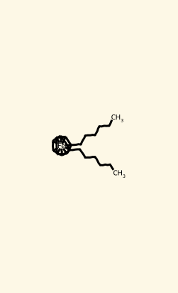 CCCCCC[C]12[CH]3[CH]4[CH]5[CH]1[Fe]45321678[CH]2[CH]1[CH]6[C]7(CCCCCC)[CH]28